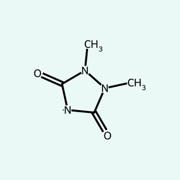 CN1C(=O)[N]C(=O)N1C